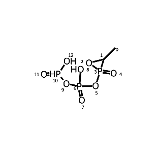 CC1OP1(=O)OP(=O)(O)O[PH](=O)O